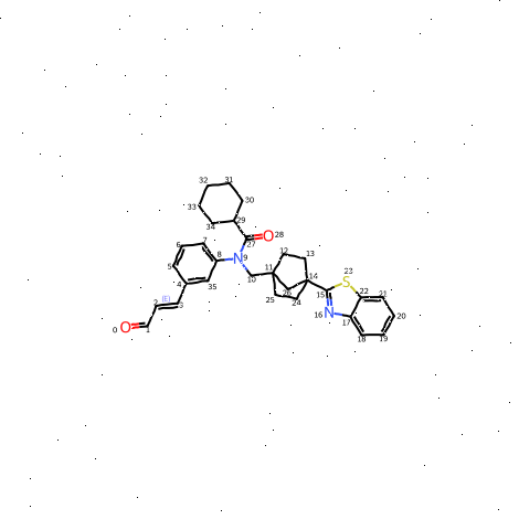 O=C/C=C/c1cccc(N(CC23CCC(c4nc5ccccc5s4)(CC2)C3)C(=O)C2CCCCC2)c1